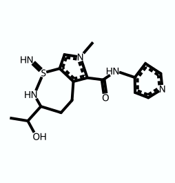 CC(O)C1CCc2c(cn(C)c2C(=O)Nc2ccncc2)S(=N)N1